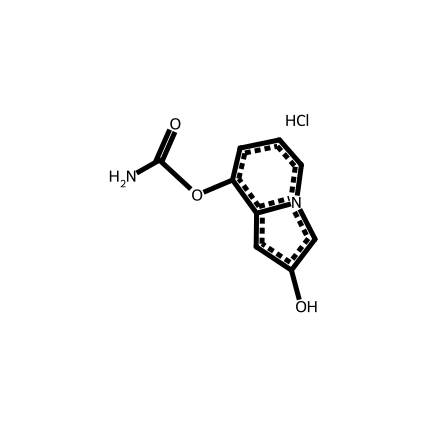 Cl.NC(=O)Oc1cccn2cc(O)cc12